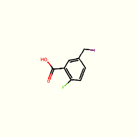 O=C(O)c1cc(CI)ccc1F